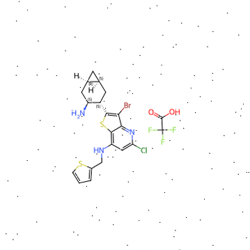 N[C@H]1C[C@H]2C[C@H]2C[C@@H]1c1sc2c(NCc3cccs3)cc(Cl)nc2c1Br.O=C(O)C(F)(F)F